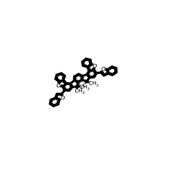 CC1(C)c2cc(-c3cc4ccccc4o3)c3oc4ccccc4c3c2-c2ccc3c(c21)C(C)(C)c1cc(-c2cc4ccccc4o2)c2oc4ccccc4c2c1-3